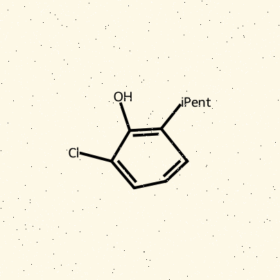 CCCC(C)c1cccc(Cl)c1O